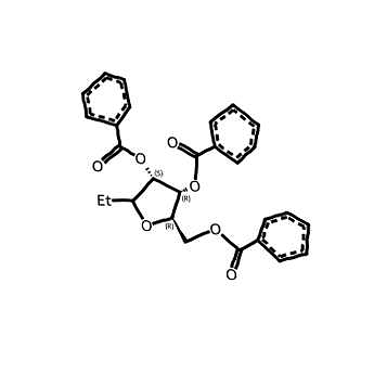 CCC1O[C@H](COC(=O)c2ccccc2)[C@@H](OC(=O)c2ccccc2)[C@H]1OC(=O)c1ccccc1